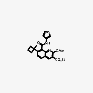 CCOC(=O)c1cc2ccc(C3(C)CCC3)c(C(=O)Nc3ccsc3)c2nc1OC